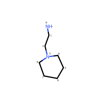 [NH]CCN1CCCCC1